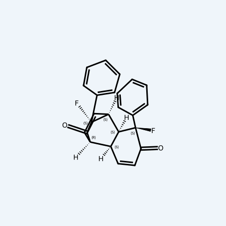 O=C1C=C[C@@H]2[C@@H]([C@@H]3C=C[C@H]2C(=O)[C@@]3(F)c2ccccc2)[C@]1(F)c1ccccc1